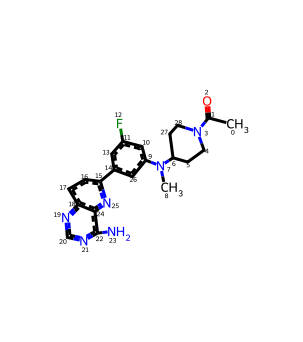 CC(=O)N1CCC(N(C)c2cc(F)cc(-c3ccc4ncnc(N)c4n3)c2)CC1